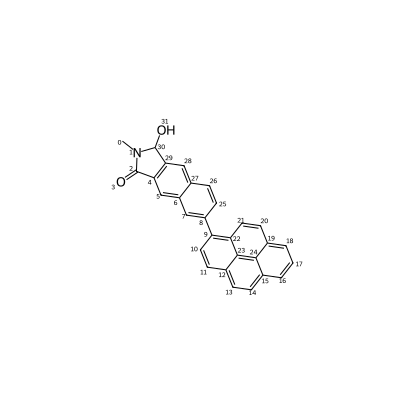 CN1C(=O)c2cc3cc(-c4ccc5ccc6cccc7ccc4c5c67)ccc3cc2C1O